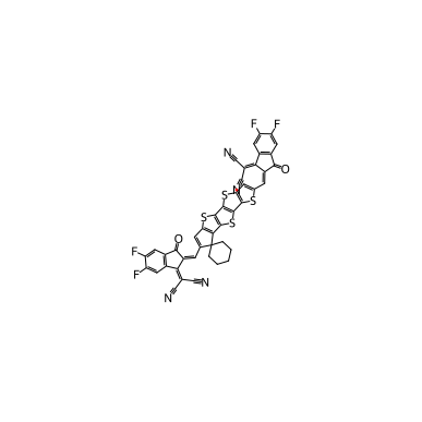 N#CC(C#N)=C1/C(=C/C2=Cc3sc4c(sc5c6sc(/C=C7/C(=O)c8cc(F)c(F)cc8C7=C(C#N)C#N)cc6sc45)c3C23CCCCC3)C(=O)c2cc(F)c(F)cc21